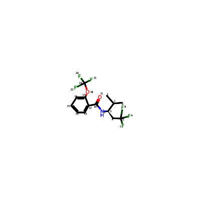 CC(C)[C@@H](CC(F)(F)F)NC(=O)c1ccccc1OC(F)(F)F